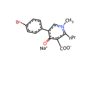 CCCc1c(C(=O)[O-])c(=O)c(-c2ccc(Br)cc2)cn1C.[Na+]